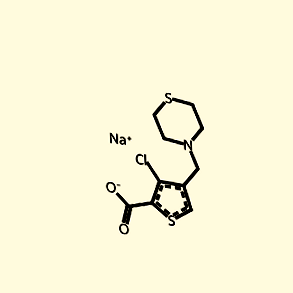 O=C([O-])c1scc(CN2CCSCC2)c1Cl.[Na+]